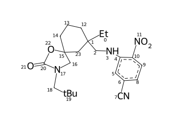 CCC1(CNc2cc(C#N)ccc2[N+](=O)[O-])CCCC2(CN(CC(C)(C)C)C(=O)O2)C1